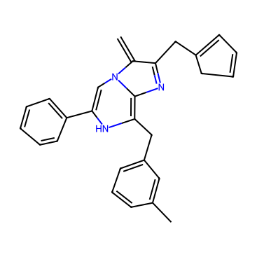 C=c1c(CC2=CC=CC2)nc2n1C=C(c1ccccc1)NC=2Cc1cccc(C)c1